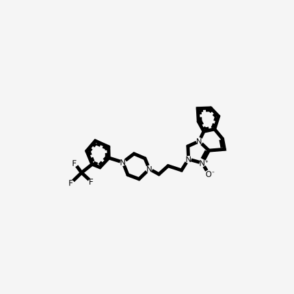 [O-][N+]1=C2C=Cc3ccccc3N2CN1CCCN1CCN(c2cccc(C(F)(F)F)c2)CC1